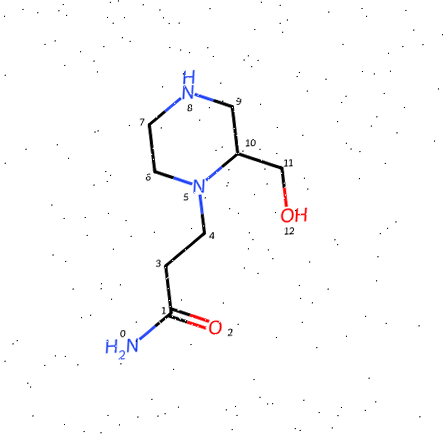 NC(=O)CCN1CCNCC1CO